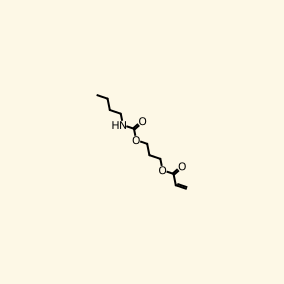 C=CC(=O)OCCCOC(=O)NCCCC